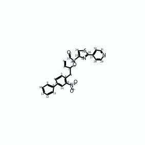 C=CC(Cc1ccc(-c2ccccc2)cc1[N+](=O)[O-])ON(C=O)c1csc(-c2ccncc2)n1